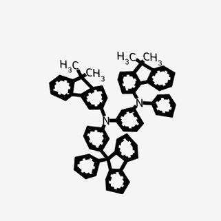 CC1(C)c2ccccc2-c2cc(N(c3cccc(N(c4ccccc4)c4cccc5c4-c4ccccc4C5(C)C)c3)c3cccc(C4(c5ccccc5)c5ccccc5-c5ccccc54)c3)ccc21